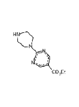 CCOC(=O)c1cnc(N2CCNCC2)nc1